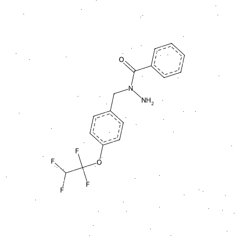 NN(Cc1ccc(OC(F)(F)C(F)F)cc1)C(=O)c1ccccc1